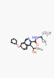 COC(O)c1c(C(=O)N[C@@H](C)C(=O)O)ncc2cc(Oc3ccccc3)ccc12